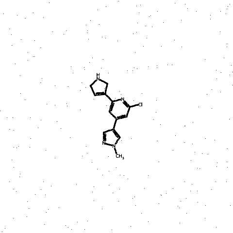 Cn1cc(-c2cc(Cl)nc(C3=CCNC3)c2)cn1